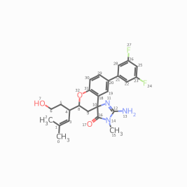 CC(C)=CC(CCO)C1CC2(N=C(N)N(C)C2=O)c2cc(-c3cc(F)cc(F)c3)ccc2O1